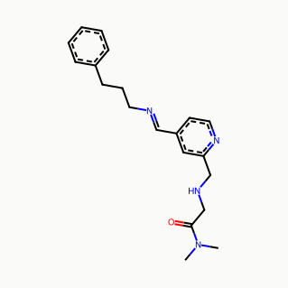 CN(C)C(=O)CNCc1cc(C=NCCCc2ccccc2)ccn1